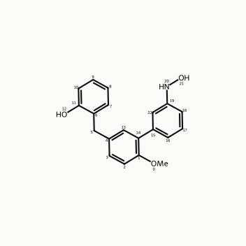 COc1ccc(Cc2ccccc2O)cc1-c1cccc(NO)c1